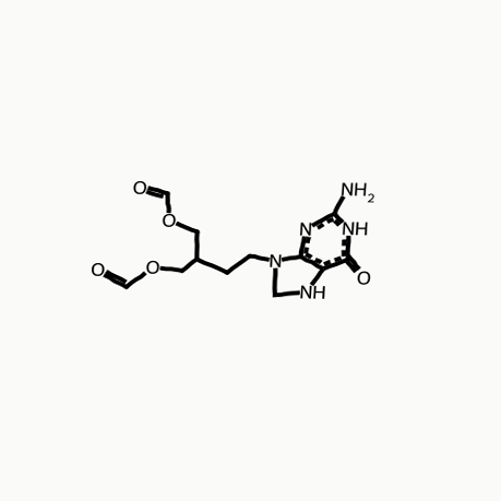 Nc1nc2c(c(=O)[nH]1)NCN2CCC(COC=O)COC=O